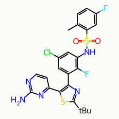 Cc1ccc(F)cc1S(=O)(=O)Nc1cc(Cl)cc(-c2nc(C(C)(C)C)sc2-c2ccnc(N)n2)c1F